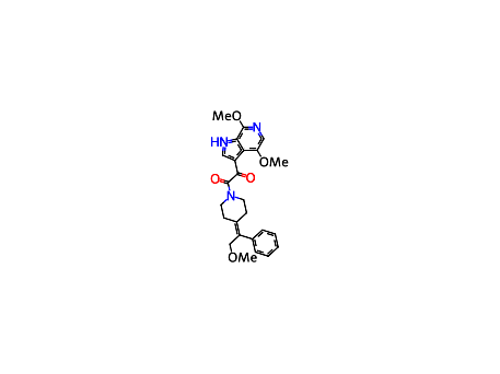 COCC(=C1CCN(C(=O)C(=O)c2c[nH]c3c(OC)ncc(OC)c23)CC1)c1ccccc1